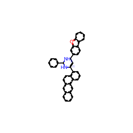 NC(N/C(=C\Cc1ccc2c(c1)oc1ccccc12)c1cccc2c1ccc1cc3ccccc3cc12)c1ccccc1